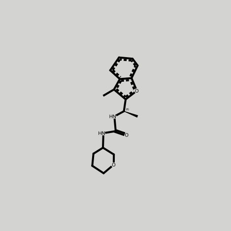 Cc1c([C@@H](C)NC(=O)NC2CCCOC2)oc2ccccc12